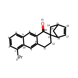 CC(C)c1cccc2cc3c(cc12)CCC1(CC2C=CC1C2)C3=O